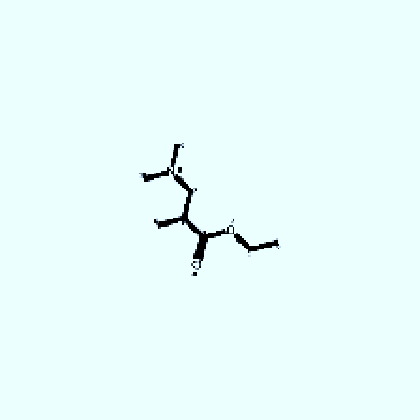 CCOC(=O)C(C)CN(C)C